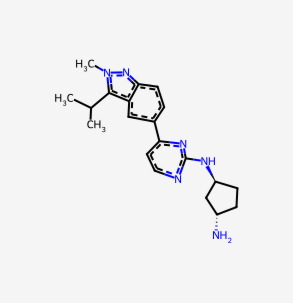 CC(C)c1c2cc(-c3ccnc(N[C@H]4CC[C@H](N)C4)n3)ccc2nn1C